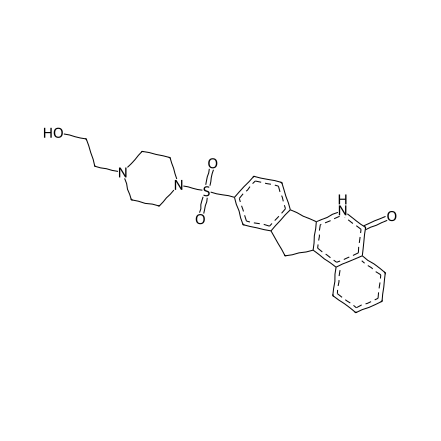 O=c1[nH]c2c(c3ccccc13)Cc1cc(S(=O)(=O)N3CCN(CCO)CC3)ccc1-2